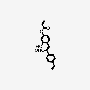 C=CC(=O)Oc1ccc(/C=C(\C=O)c2ccc(C=C)cc2)c(O)c1